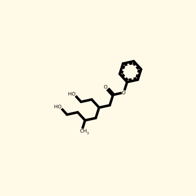 CC(CCO)CC(CCO)CC(=O)Oc1ccccc1